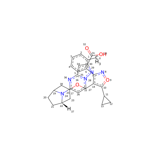 Cc1ccccc1-c1noc(C2CC2)c1COC1CC2CC[C@@H](C1)N2c1ccn2nc(C(=O)O)cc2n1